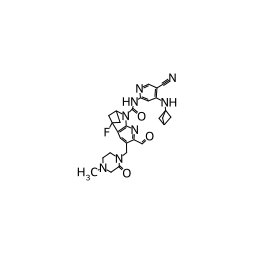 CN1CCN(Cc2cc3c(nc2C=O)N(C(=O)Nc2cc(NC45CC(C4)C5)c(C#N)cn2)C2CC3(F)C2)C(=O)C1